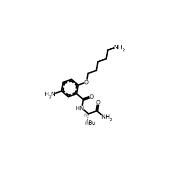 CCCC[C@H](NC(=O)c1cc(N)ccc1OCCCCCN)C(N)=O